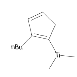 CCCCC1=[C]([Ti]([CH3])[CH3])CC=C1